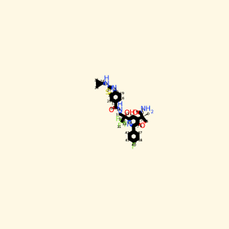 C[C@]1(C(N)=O)COc2c1cc([C@@](O)(CNC(=O)c1ccc3nc(NC4CC4)sc3c1)C(F)(F)F)nc2-c1ccc(F)cc1